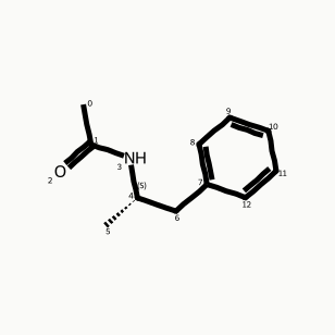 CC(=O)N[C@@H](C)Cc1ccccc1